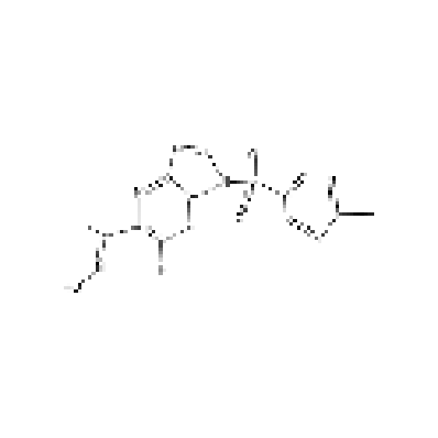 CC(=NO)c1nc2ccn(S(=O)(=O)c3ccc(C)cc3)c2cc1F